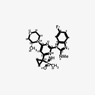 CNc1nc2ccc(F)cc2n1-c1nc(N2CCOC[C@H]2C)cc(C2([S@](C)(=N)=O)CC2)n1